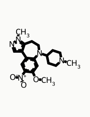 COc1cc2c(cc1[N+](=O)[O-])-c1cnn(C)c1CCN2C1CCN(C)CC1